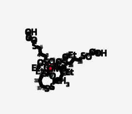 CCO[Si](CCCSOOO)(OCC)O[Si]1(O[Si](CCCSOOO)(OCC)OCC)CCC[C@]2(C)O[Si](OC)(CCCSS2)O1